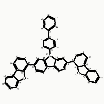 C1=CC(c2ccc3c4ccc(-c5cccc6c5oc5ccccc56)cc4n(-c4ccc(-c5ccccc5)cc4)c3c2)C2Oc3ccccc3C2=C1